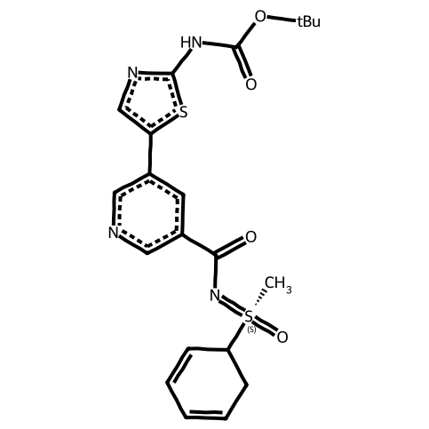 CC(C)(C)OC(=O)Nc1ncc(-c2cncc(C(=O)N=[S@@](C)(=O)C3C=CC=CC3)c2)s1